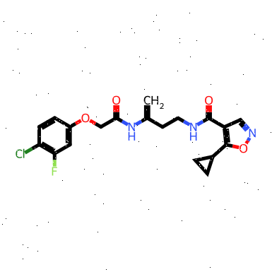 C=C(CCNC(=O)c1cnoc1C1CC1)NC(=O)COc1ccc(Cl)c(F)c1